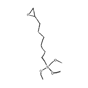 CO[Si](CCCCCCC1CO1)(OC)OC